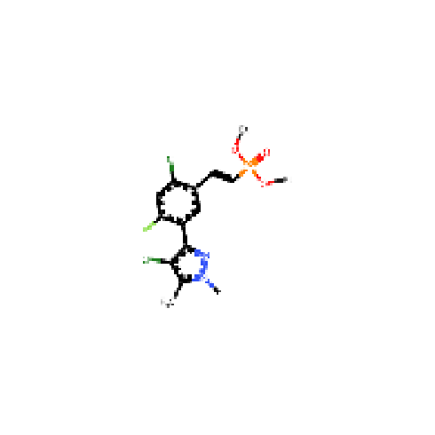 CCOP(=O)(C=Cc1cc(-c2nn(C)c(C(F)(F)F)c2Cl)c(F)cc1Cl)OCC